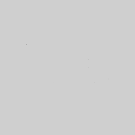 CC1CCC(c2ccc3c(c2)CCN(C)C3(C)C)N(C(=O)C(=O)Nc2cnc(N)c3cn(C4CCCCO4)nc23)C1